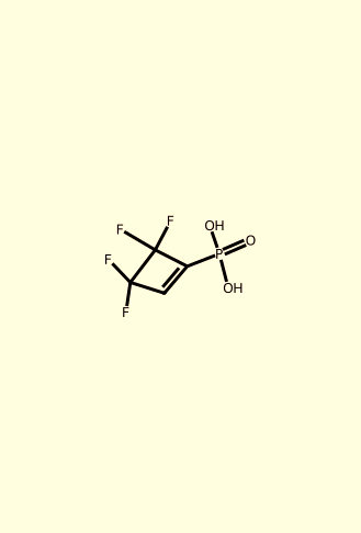 O=P(O)(O)C1=CC(F)(F)C1(F)F